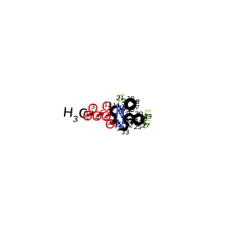 COC(=O)OCOc1c2n(ncc1=O)[C@@H]([C@H](c1cccc(F)c1)c1ccc(F)c(F)c1)[C@H]1CCCN1C2=O